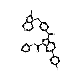 Cc1nc2cnccc2n1Cc1ccc(C(=O)c2cn(C(=O)Oc3ccccc3)c3cc(-c4ccc(F)cc4)ccc23)cc1